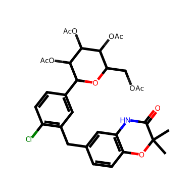 CC(=O)OCC1OC(c2ccc(Cl)c(Cc3ccc4c(c3)NC(=O)C(C)(C)O4)c2)C(OC(C)=O)C(OC(C)=O)C1OC(C)=O